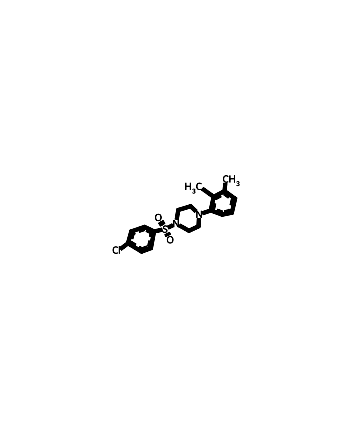 Cc1cccc(N2CCN(S(=O)(=O)c3ccc(Cl)cc3)CC2)c1C